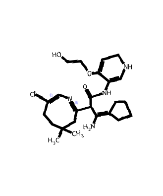 CC1(C)CC/C(Cl)=C\N=C(\C(C(=O)NC2=CNCC=C2OCCO)C(N)=C2CCCC2)C1